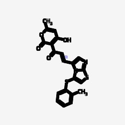 Cc1cc(O)c(C(=O)/C=C/c2cnc3scc(Sc4ccccc4C)n23)c(=O)o1